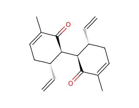 C=C[C@@H]1CC=C(C)C(=O)[C@H]1[C@@H]1C(=O)C(C)=CC[C@H]1C=C